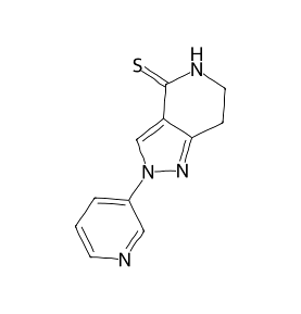 S=C1NCCc2nn(-c3cccnc3)cc21